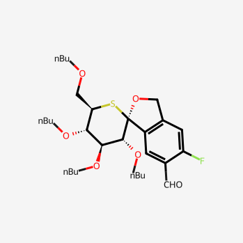 CCCCOC[C@H]1S[C@]2(OCc3cc(F)c(C=O)cc32)[C@H](OCCCC)[C@@H](OCCCC)[C@@H]1OCCCC